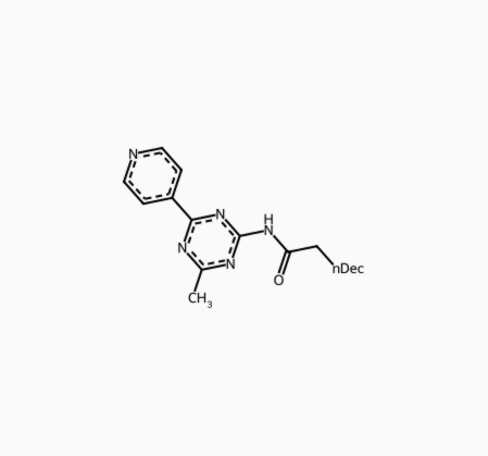 CCCCCCCCCCCC(=O)Nc1nc(C)nc(-c2ccncc2)n1